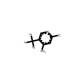 [2H]C([2H])([2H])c1cnc(Cl)cc1[N+](=O)[O-]